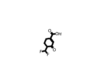 O=C(O)C1=CC(=O)C(C(F)F)CC1